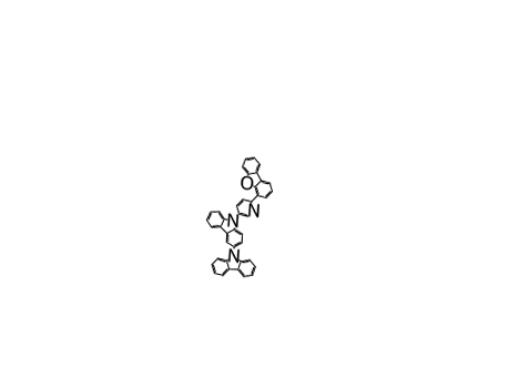 c1ccc2c(c1)oc1c(-c3ccc(-n4c5ccccc5c5cc(-n6c7ccccc7c7ccccc76)ccc54)cn3)cccc12